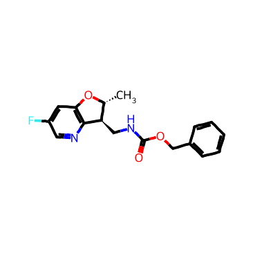 C[C@H]1Oc2cc(F)cnc2[C@@H]1CNC(=O)OCc1ccccc1